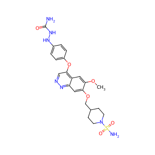 COc1cc2c(Oc3ccc(NNC(N)=O)cc3)cnnc2cc1OCC1CCN(S(N)(=O)=O)CC1